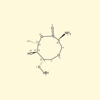 CCCCO[C@H]1COC[C@H](N)C(=O)O[C@@H](C)[C@@H]1O